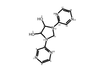 OC1C(O)N(c2cnccn2)CN1c1cnccn1